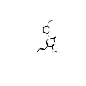 O=c1nc(NO)c(C=CCl)cn1[C@H]1C[C@H](O)[C@@H](CO)O1